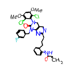 C=CC(=O)Nc1ccccc1CCCc1ncc2c(n1)N(Cc1cccc(F)c1)C(=O)N(c1c(Cl)c(OC)cc(OC)c1Cl)C2